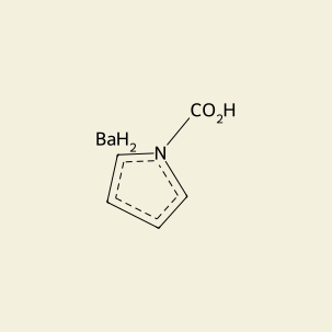 O=C(O)n1cccc1.[BaH2]